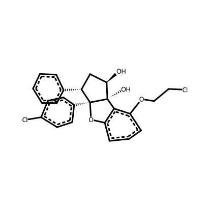 O[C@@H]1C[C@@H](c2ccccc2)[C@]2(c3ccc(Cl)cc3)Oc3cccc(OCCCl)c3[C@]12O